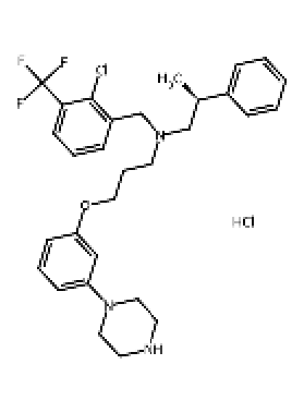 C[C@H](CN(CCCOc1cccc(N2CCNCC2)c1)Cc1cccc(C(F)(F)F)c1Cl)c1ccccc1.Cl